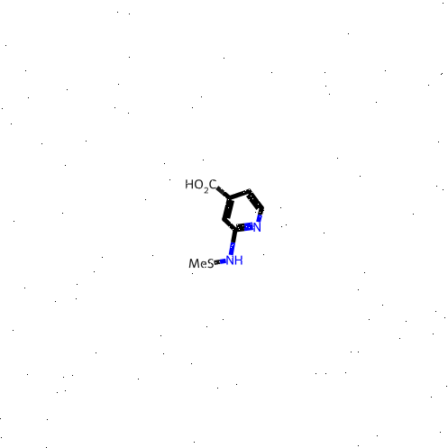 CSNc1cc(C(=O)O)ccn1